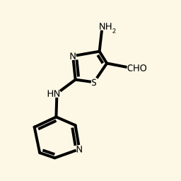 Nc1nc(Nc2cccnc2)sc1C=O